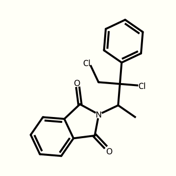 CC(N1C(=O)c2ccccc2C1=O)C(Cl)(CCl)c1ccccc1